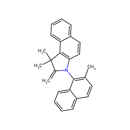 C=C1N(c2c(C)ccc3ccccc23)c2ccc3ccccc3c2C1(C)C